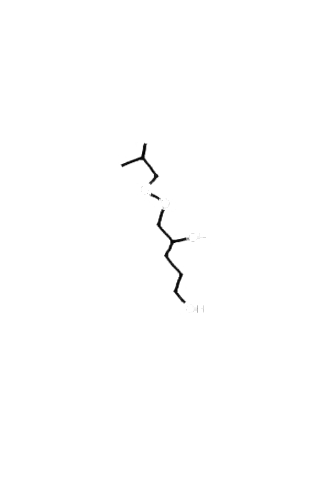 CC(C)COOCC(O)CCCO